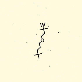 CC(C)(C)CCCOCC[C](C)(C)[W]